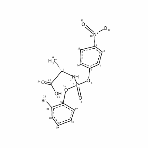 C[C@H](NP(=O)(Oc1ccc([N+](=O)[O-])cc1)Oc1ccccc1Br)C(=O)O